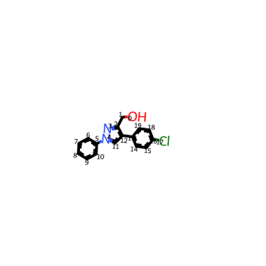 OCc1nn(-c2ccccc2)cc1-c1ccc(Cl)cc1